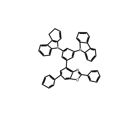 C1=Cc2c(c3ccccc3n2-c2cc(-c3cc(-c4ccccc4)cc4oc(-c5ccccc5)nc34)cc(-n3c4ccccc4c4ccccc43)c2)CC1